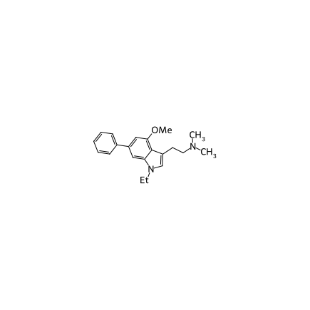 CCn1cc(CCN(C)C)c2c(OC)cc(-c3ccccc3)cc21